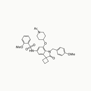 COc1ccc(CN2C(=O)C3(CCC3)c3cc(NS(=O)(=O)c4ccccc4OC)cc(OC4CCN(C(C)=O)CC4)c32)cc1